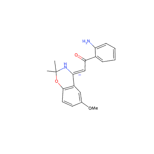 COc1ccc2c(c1)/C(=C/C(=O)c1ccccc1N)NC(C)(C)O2